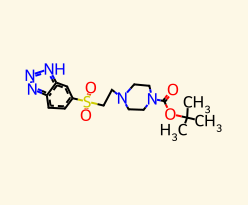 CC(C)(C)OC(=O)N1CCN(CCS(=O)(=O)c2ccc3nn[nH]c3c2)CC1